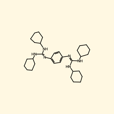 c1cc(N=C(NC2CCCCC2)NC2CCCCC2)ccc1N=C(NC1CCCCC1)NC1CCCCC1